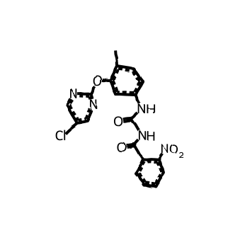 Cc1ccc(NC(=O)NC(=O)c2ccccc2[N+](=O)[O-])cc1Oc1ncc(Cl)cn1